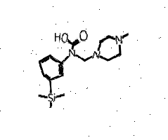 CN1CCN(CN(C(=O)O)c2cccc([Si](C)(C)C)c2)CC1